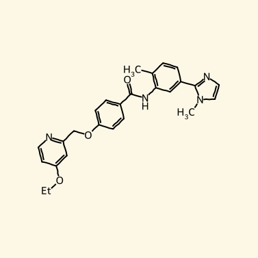 CCOc1ccnc(COc2ccc(C(=O)Nc3cc(-c4nccn4C)ccc3C)cc2)c1